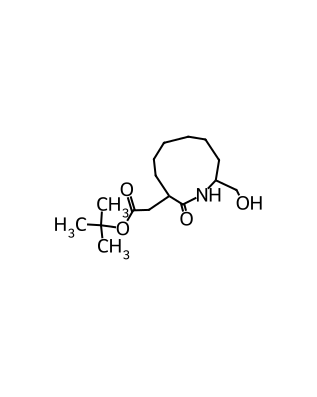 CC(C)(C)OC(=O)CC1CCCCCCC(CO)NC1=O